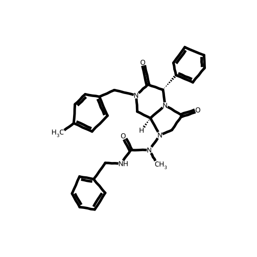 Cc1ccc(CN2C[C@H]3N(C(=O)CN3N(C)C(=O)NCc3ccccc3)[C@@H](c3ccccc3)C2=O)cc1